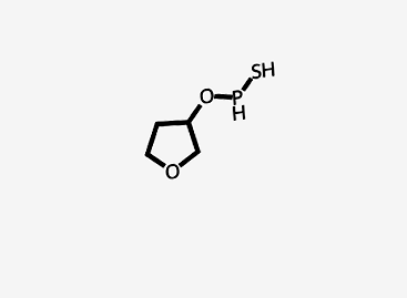 SPOC1CCOC1